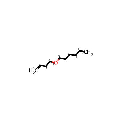 C=CCCOCCCCCC